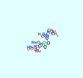 COc1nc(-c2cccc(-c3cccc(-c4cc5c(=O)n(C)c(CN(C)CC(C)O)nn5c4)c3Cl)c2Cl)ccc1CN(C[C@@H]1CCC(=O)N1)C(=O)OC(C)(C)C